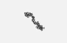 C[C@@H](Oc1cc(-c2cnn(C3CCC(CN4CCC(c5cc6c(cc5F)CN(C5CCC(=O)NC5=O)C6C(=O)C=O)CC4)CC3)c2)cnc1N)c1c(Cl)ccc(F)c1Cl